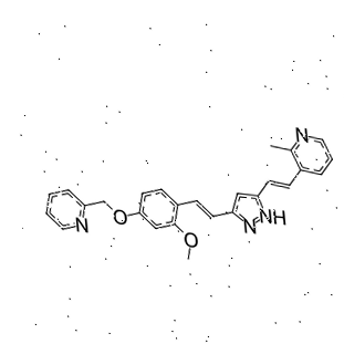 COc1cc(OCc2ccccn2)ccc1C=Cc1cc(C=Cc2cccnc2C)[nH]n1